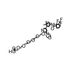 Cc1ncc(NC(=O)c2cccc(C(F)(F)F)c2)cc1-c1cnc(OCCOCCOCCOCCOCCOCC(=O)O)c(N2CCOCC2)c1